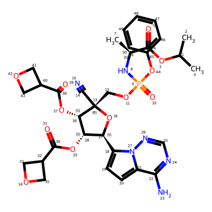 CC(C)OC(=O)[C@H](C)NP(=O)(OC[C@@]1(C#N)O[C@@H](c2ccc3c(N)ncnn23)[C@H](OC(=O)C2COC2)[C@@H]1OC(=O)C1COC1)Oc1ccccc1